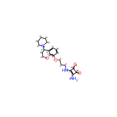 Nc1c(NCCCOc2cccc3c2OCCC3N2CCCCC2)c(=O)c1=O